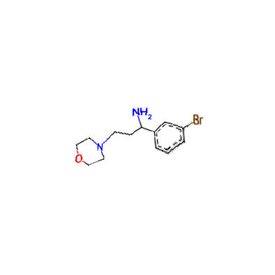 NC(CCN1CCOCC1)c1cccc(Br)c1